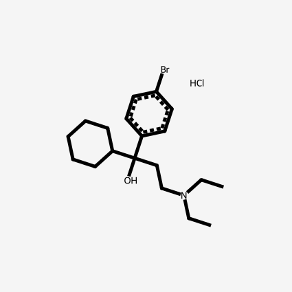 CCN(CC)CCC(O)(c1ccc(Br)cc1)C1CCCCC1.Cl